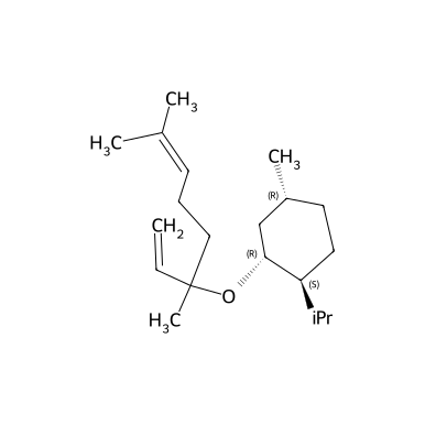 C=CC(C)(CCC=C(C)C)O[C@@H]1C[C@H](C)CC[C@H]1C(C)C